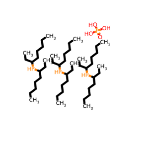 CCCCCC(CC)PC(CC)CCCCC.CCCCCC(CC)PC(CC)CCCCC.CCCCCC(CC)PC(CC)CCCCC.O=P(O)(O)O